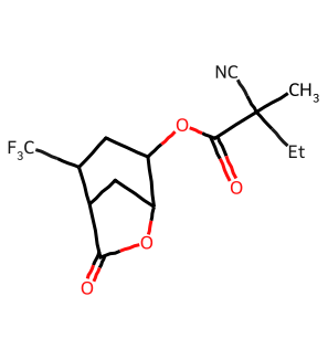 CCC(C)(C#N)C(=O)OC1CC(C(F)(F)F)C2CC1OC2=O